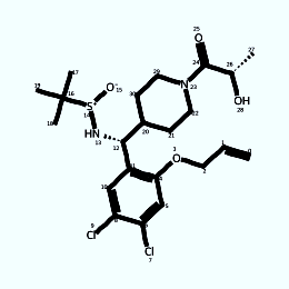 C=CCOc1cc(Cl)c(Cl)cc1[C@H](N[S+]([O-])C(C)(C)C)C1CCN(C(=O)[C@H](C)O)CC1